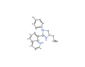 Cc1ccc(N2CC(CC(C)(C)C)N=C2c2cccc3cccnc23)cc1